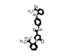 CC(C)c1ccccc1Nc1ccc(NC(=O)C2CC(=O)N(c3ccccc3C(C)C)C2)cc1